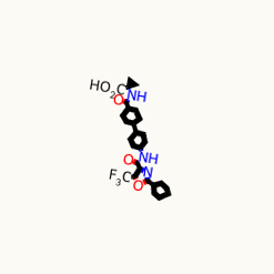 O=C(NC1(C(=O)O)CC1)c1ccc(-c2ccc(NC(=O)c3nc(-c4ccccc4)oc3C(F)(F)F)cc2)cc1